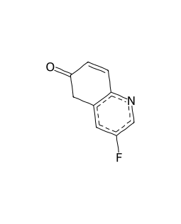 O=C1C=Cc2ncc(F)cc2C1